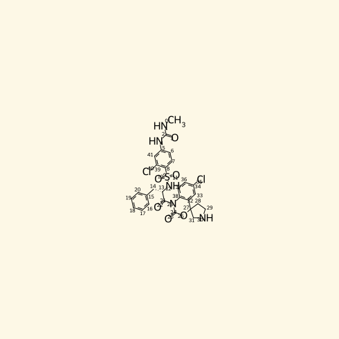 CNC(=O)Nc1ccc(S(=O)(=O)N[C@@H](Cc2ccccc2)C(=O)N2C(=O)OC3(CCNC3)c3cc(Cl)ccc32)c(Cl)c1